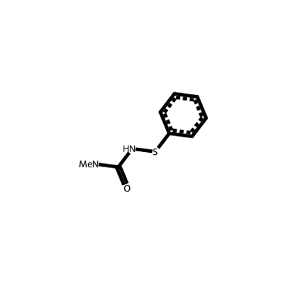 CNC(=O)NSc1ccccc1